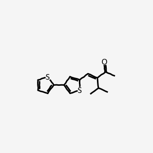 CC(=O)/C(=C/c1cc(-c2cccs2)cs1)C(C)C